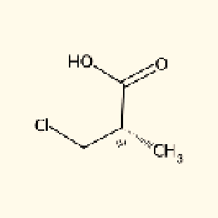 C[C@H](CCl)C(=O)O